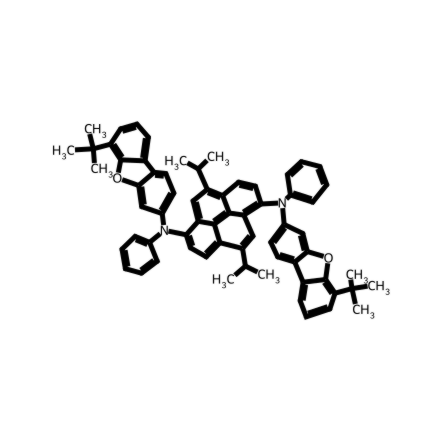 CC(C)c1cc2c(N(c3ccccc3)c3ccc4c(c3)oc3c(C(C)(C)C)cccc34)ccc3c(C(C)C)cc4c(N(c5ccccc5)c5ccc6c(c5)oc5c(C(C)(C)C)cccc56)ccc1c4c32